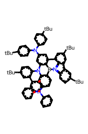 CC(C)(C)c1ccc(N(c2ccc(C(C)(C)C)cc2)c2cc3c4c(c2)N(c2ccc(C(C)(C)C)cc2-c2ccccc2)c2cc(N(c5ccccc5)c5ccccc5)ccc2B4n2c4ccc(C(C)(C)C)cc4c4cc(C(C)(C)C)cc-3c42)cc1